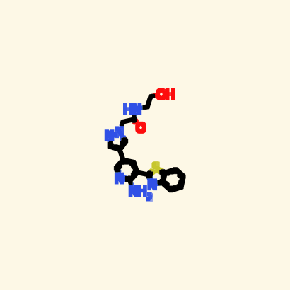 Nc1ncc(-c2cnn(CC(=O)NCCO)c2)cc1-c1nc2ccccc2s1